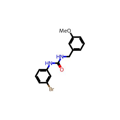 COc1cccc(CNC(=O)Nc2cccc(Br)c2)c1